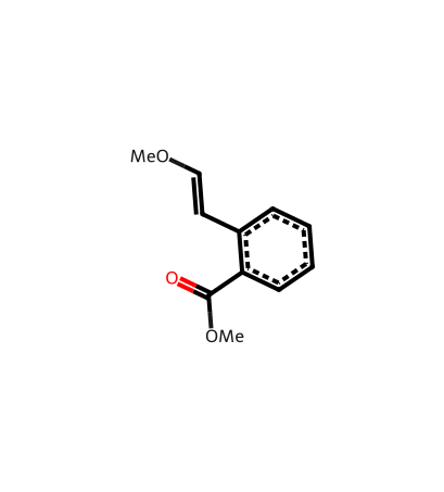 COC=Cc1ccccc1C(=O)OC